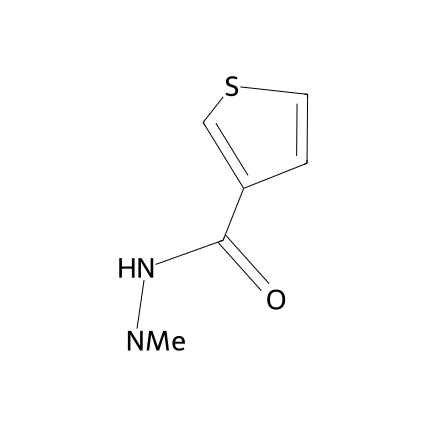 CNNC(=O)c1ccsc1